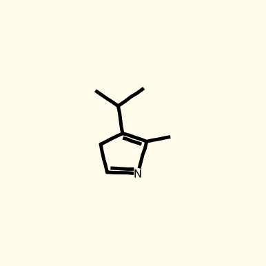 CC1=C(C(C)C)CC=N1